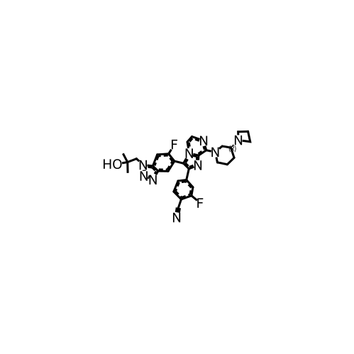 CC(C)(O)Cn1nnc2cc(-c3c(-c4ccc(C#N)c(F)c4)nc4c(N5CCC[C@@H](N6CCC6)C5)nccn34)c(F)cc21